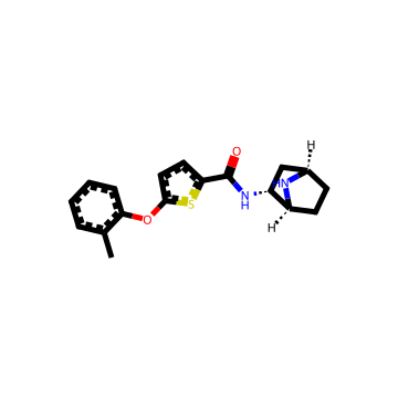 Cc1ccccc1Oc1ccc(C(=O)N[C@@H]2C[C@H]3CC[C@@H]2N3)s1